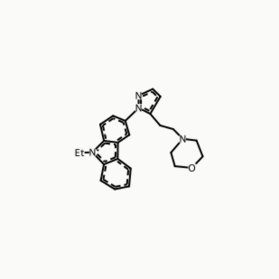 CCn1c2ccccc2c2cc(-n3nccc3CCN3CCOCC3)ccc21